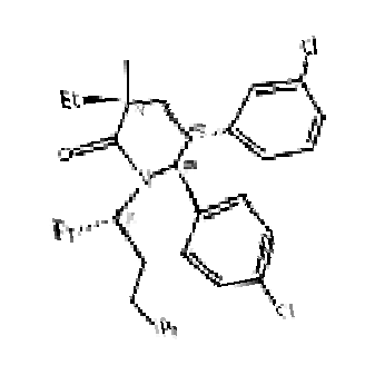 CC[C@@]1(C)C[C@H](c2cccc(Cl)c2)[C@@H](c2ccc(Cl)cc2)N([C@H](CCC(C)C)C(C)C)C1=O